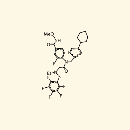 CCN(CC(=O)N(Cc1ccc(C2CCCCC2)cn1)c1ccc(C(=O)NOC)cc1F)Sc1c(F)c(F)c(F)c(F)c1F